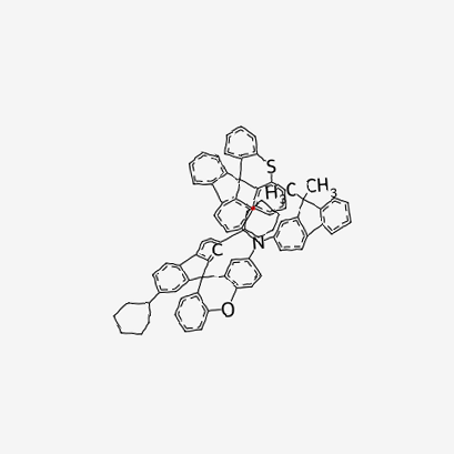 CC1(C)c2ccccc2-c2ccc(N(c3ccc4c(c3)C3(c5ccccc5O4)c4cc(C5CCCCC5)ccc4-c4ccc(C5CCCCC5)cc43)c3ccc4c(c3)C3(c5ccccc5Sc5ccccc53)c3ccccc3-4)cc21